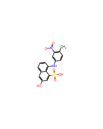 Cc1ccc(Nc2cccc3cc(O)cc(S(=O)(=O)O)c23)cc1[N+](=O)[O-]